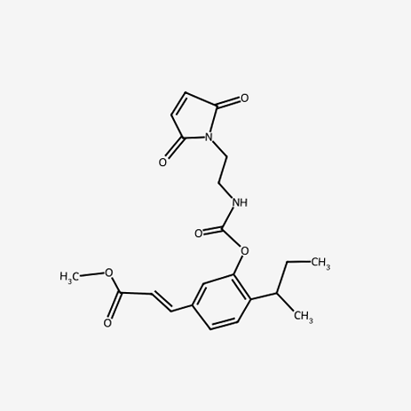 CCC(C)c1ccc(/C=C/C(=O)OC)cc1OC(=O)NCCN1C(=O)C=CC1=O